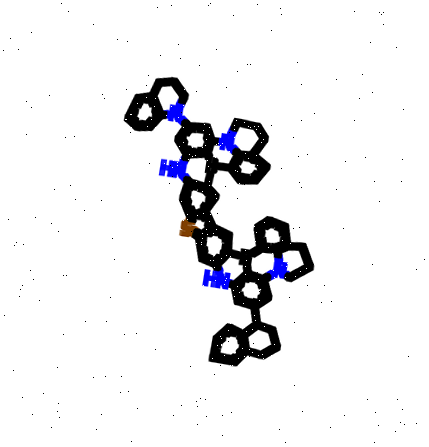 c1ccc2c(c1)CCCC2c1cc2c3c(c1)N1CCCc4cccc(c41)B3c1cc3c(cc1N2)sc1cc2c(cc13)B1c3cccc4c3N(CCC4)c3cc(N4CCCc5ccccc54)cc(c31)N2